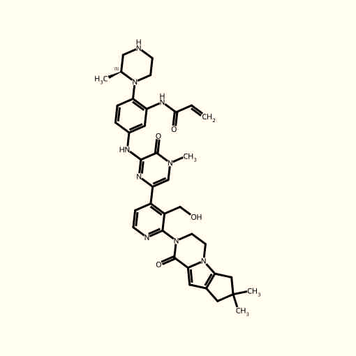 C=CC(=O)Nc1cc(Nc2nc(-c3ccnc(N4CCn5c(cc6c5CC(C)(C)C6)C4=O)c3CO)cn(C)c2=O)ccc1N1CCNC[C@@H]1C